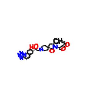 CC1CC2(CCN(CC(O)c3ccc4c(ccc5nnnn54)c3)CC2)C(=O)N1C1=CC(=O)OC1